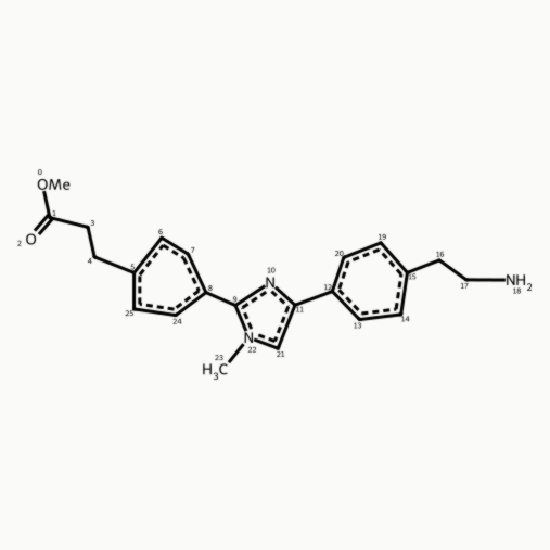 COC(=O)CCc1ccc(-c2nc(-c3ccc(CCN)cc3)cn2C)cc1